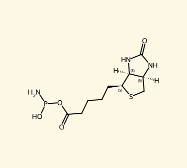 NP(O)OC(=O)CCCC[C@@H]1SC[C@@H]2NC(=O)N[C@@H]21